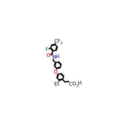 CCc1cc(Oc2cccc(CNC(=O)c3ccc(C(F)(F)F)cc3F)c2)ccc1CCC(=O)O